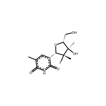 Cc1cn([C@@H]2O[C@H](CO)[C@@](C)(O)[C@]2(C)F)c(=O)[nH]c1=O